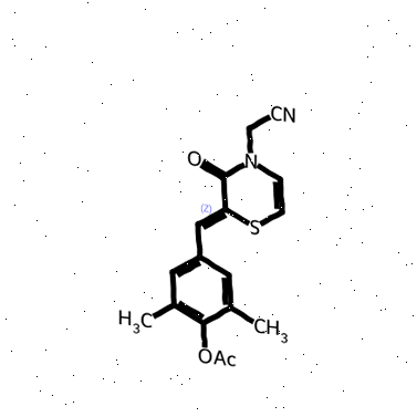 CC(=O)Oc1c(C)cc(/C=C2\SC=CN(CC#N)C2=O)cc1C